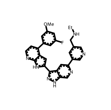 CCNCc1cncc(-c2cc3c(-c4cc5c(-c6cc(F)cc(OC)c6)ccnc5[nH]4)n[nH]c3cn2)c1